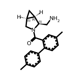 Cc1ccc(-c2ccc(C)cc2C(=O)N2C[C@H]3C[C@H]3[C@H]2CN)cc1